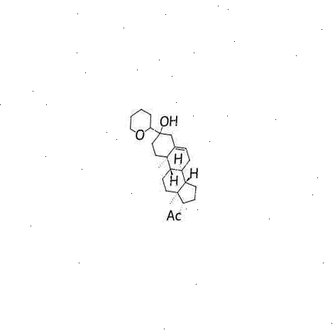 CC(=O)[C@H]1CC[C@H]2[C@@H]3CC=C4CC(O)(C5CCCCO5)CC[C@]4(C)[C@H]3CC[C@]12C